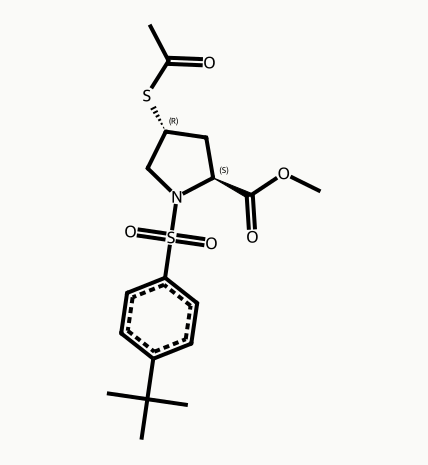 COC(=O)[C@@H]1C[C@@H](SC(C)=O)CN1S(=O)(=O)c1ccc(C(C)(C)C)cc1